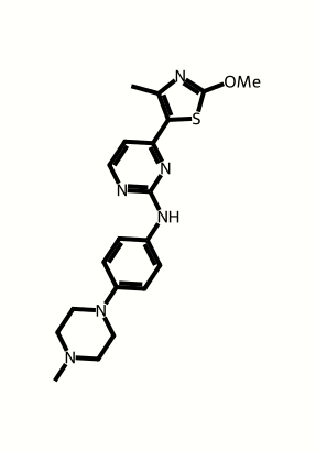 COc1nc(C)c(-c2ccnc(Nc3ccc(N4CCN(C)CC4)cc3)n2)s1